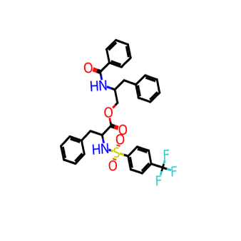 O=C(NC(COC(=O)C(Cc1ccccc1)NS(=O)(=O)c1ccc(C(F)(F)F)cc1)Cc1ccccc1)c1ccccc1